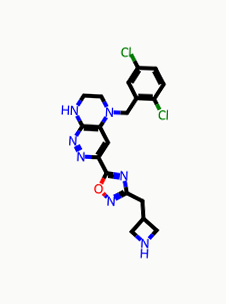 Clc1ccc(Cl)c(CN2CCNc3nnc(-c4nc(CC5CNC5)no4)cc32)c1